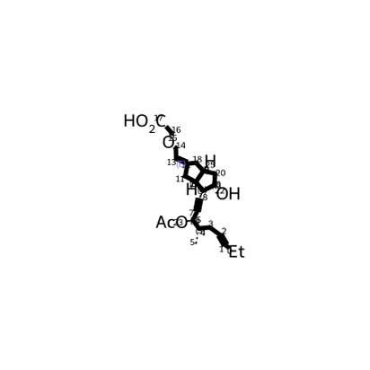 CCC#CC[C@H](C)[C@@H](C#C[C@@H]1[C@H]2C/C(=C/COCC(=O)O)C[C@H]2C[C@H]1O)OC(C)=O